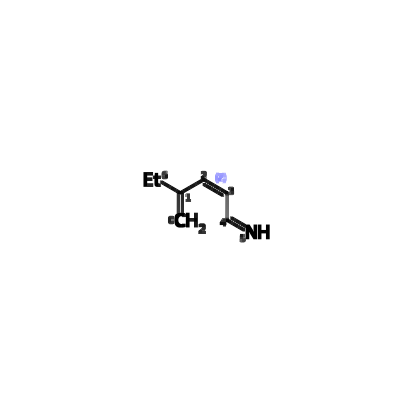 C=C(/C=C\C=N)CC